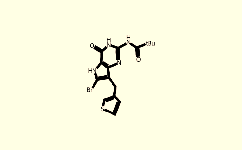 CC(C)(C)C(=O)Nc1nc2c(Cc3ccsc3)c(Br)[nH]c2c(=O)[nH]1